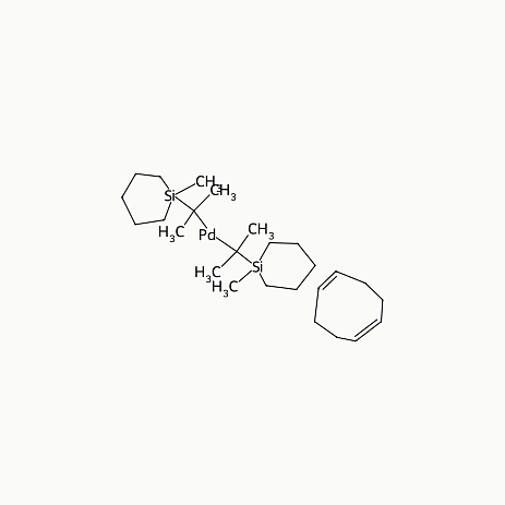 C1=CCCC=CCC1.C[C](C)([Pd][C](C)(C)[Si]1(C)CCCCC1)[Si]1(C)CCCCC1